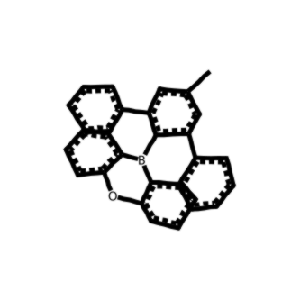 Cc1cc(-c2ccccc2)c(B2c3ccccc3Oc3ccccc32)c(-c2ccccc2)c1